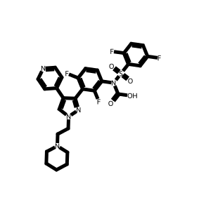 O=C(O)N(c1ccc(F)c(-c2nn(CCN3CCCCC3)cc2-c2ccncc2)c1F)S(=O)(=O)c1cc(F)ccc1F